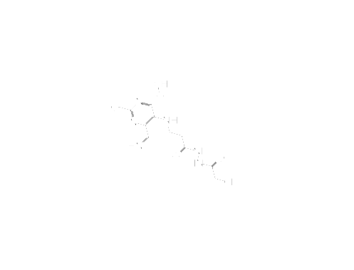 CCC(=O)NNC(=O)CCNc1c(C=N)nc(Cl)nc1OC